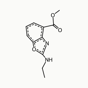 CCNc1nc2c(C(=O)OC)cccc2o1